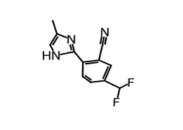 Cc1c[nH]c(-c2ccc(C(F)F)cc2C#N)n1